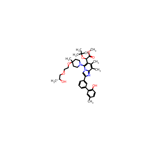 COC(=O)C(OC(C)(C)C)c1c(C)c(C)c2nc(-c3cccc(-c4cc(C)ccc4O)c3)cn2c1N1CCC(C)(OCCOC[C@@H](C)O)CC1